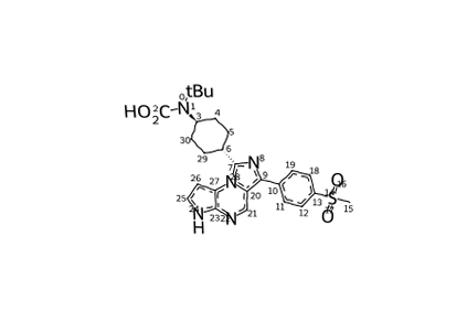 CC(C)(C)N(C(=O)O)[C@H]1CC[C@H](c2nc(-c3ccc(S(C)(=O)=O)cc3)c3cnc4[nH]ccc4n32)CC1